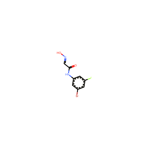 O=C(/C=N/O)Nc1cc(F)cc(Br)c1